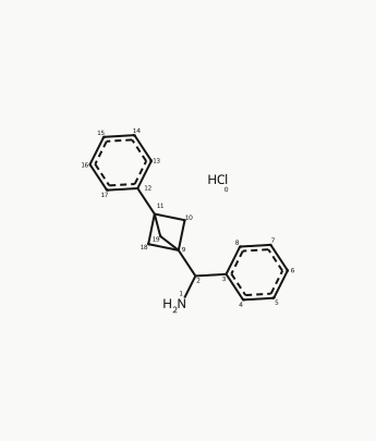 Cl.NC(c1ccccc1)C12CC(c3ccccc3)(C1)C2